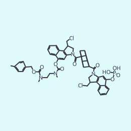 Cc1ccc(COC(=O)N(C)CCN(C)C(=O)Oc2cc3c(c4ccccc24)C(CCl)CN3C(=O)C23C4C5C2C2C3C4C52C(=O)N2CC(CCl)c3c2cc(OP(=O)(O)O)c2ccccc32)cc1